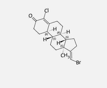 C[C@]12CC[C@H]3[C@@H](CCC4=C(Cl)C(=O)CC[C@@H]43)[C@@H]1CCC2=CBr